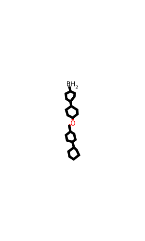 BC1CCC(C2CCC(OCC3CCC(C4CCCCC4)CC3)CC2)CC1